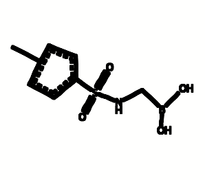 Cc1ccc(S(=O)(=O)NCB(O)O)cc1